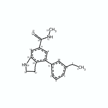 CCc1cccc(-c2cc(C(=O)NC)cc3c2CCN3)c1